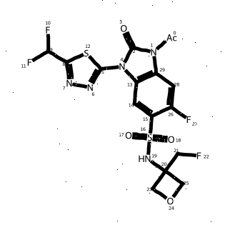 CC(=O)n1c(=O)n(-c2nnc(C(F)F)s2)c2cc(S(=O)(=O)NC3(CF)COC3)c(F)cc21